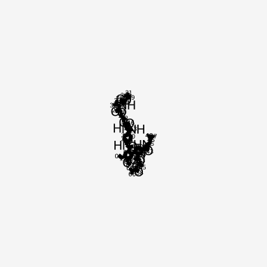 C=Cc1cc(C(=O)Nc2ccc(C(=N)NC(=O)OCCOC(=O)[C@@H](NC(=O)OC(C)(C)C)C(C)C)cc2)c(-c2ccc(C(=O)NCC3CC3)nc2C(=O)OC(C)OC(=O)C(C)C)cc1OC